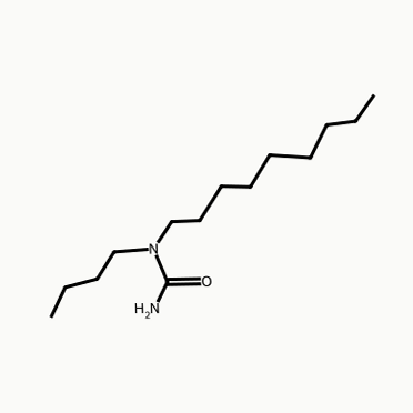 CCCCCCCCCN(CCCC)C(N)=O